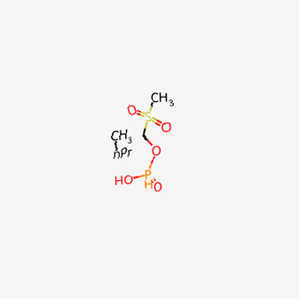 CCCC.CS(=O)(=O)CO[PH](=O)O